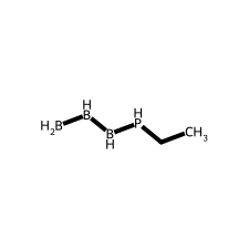 BBBPCC